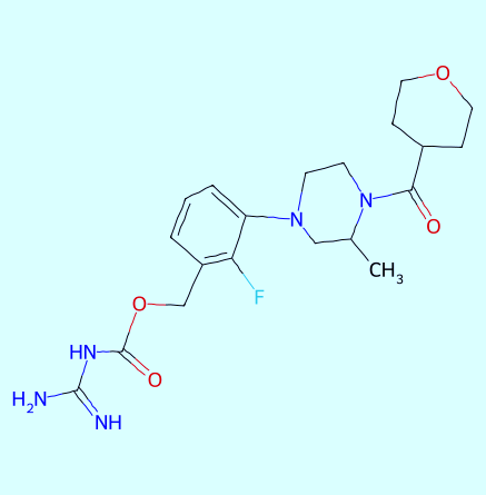 CC1CN(c2cccc(COC(=O)NC(=N)N)c2F)CCN1C(=O)C1CCOCC1